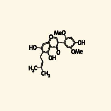 COc1cc(-c2coc3cc(O)c(CC=C(C)C)c(O)c3c2=O)c(OC)cc1O